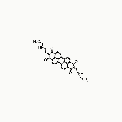 CCNCCN1C(=O)c2ccc3c4ccc5c6c(ccc(c7ccc(c2c37)C1=O)c64)C(=O)N(CCNCC)C5=O